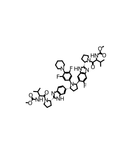 COC(=O)NC(C(=O)N1CCC[C@H]1c1nc2cc(F)c([C@H]3CC[C@H](c4ccc5nc([C@@H]6CCCN6C(=O)[C@@H](NC(=O)OC)C(C)C)[nH]c5c4)N3c3cc(F)c(N4CCCCC4)c(F)c3)cc2[nH]1)C(C)C